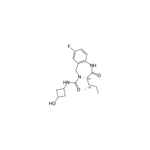 CC[C@H](C)[C@H]1C(=O)Nc2ccc(F)cc2CN1C(=O)NC1CC(O)C1